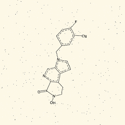 N#Cc1cc(Cn2ccc3c4c(ncc32)C(=O)N(O)CC4)ccc1F